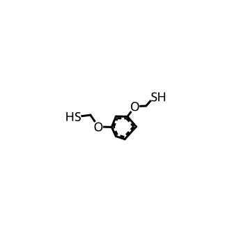 SCOc1cccc(OCS)c1